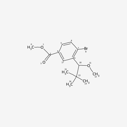 COC(=O)c1ccc(Br)c(C(OC)C(C)(C)C)c1